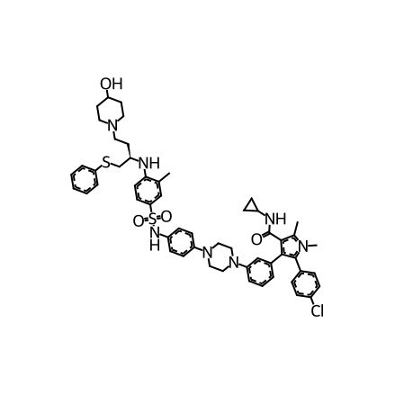 Cc1cc(S(=O)(=O)Nc2ccc(N3CCN(c4cccc(-c5c(C(=O)NC6CC6)c(C)n(C)c5-c5ccc(Cl)cc5)c4)CC3)cc2)ccc1N[C@H](CCN1CCC(O)CC1)CSc1ccccc1